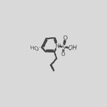 CCCc1cccc[n+]1S(=O)(=O)O.[OH-]